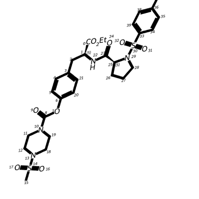 CCOC(=O)[C@H](Cc1ccc(OC(=O)N2CCN(S(C)(=O)=O)CC2)cc1)NC(=O)[C@@H]1CCCN1S(=O)(=O)c1ccc(C)cc1